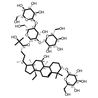 CC[C@@]12CCC([C@H](C)CC[C@@H](O[C@@H]3O[C@H](CO)[C@@H](O[C@H]4O[C@H](CO)[C@@H](O)[C@H](O)[C@H]4O)[C@H](O)[C@H]3O[C@@H]3O[C@H](CO)[C@@H](O)[C@H](O)[C@H]3O)C(C)(C)O)[C@@]1(C)C[C@@H](O)[C@@]1(C)C3CC[C@H](O[C@@H]4O[C@H](CO)[C@@H](O)[C@H](O)[C@H]4O)C(C)(C)C3=CCC12